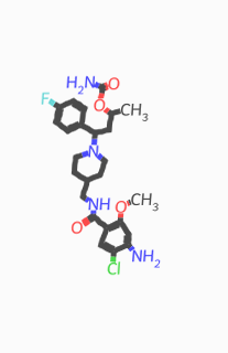 COc1cc(N)c(Cl)cc1C(=O)NCC1CCN(C(CC(C)OC(N)=O)c2ccc(F)cc2)CC1